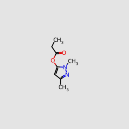 CCC(=O)Oc1cc(C)nn1C